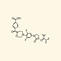 CN(C[C@H]1CN(c2cc(F)c(N3CCON(C(=O)c4ccc(C(=O)O)cc4)CC3)c(F)c2)C(=O)O1)C(=O)C(F)F